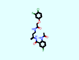 C=C(CCNC(=O)COc1ccc(Cl)c(F)c1)NC(=O)c1cc(F)ccc1NC(C)=O